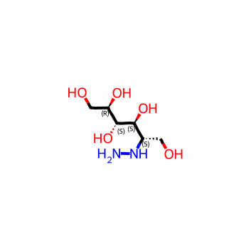 NN[C@@H](CO)[C@H](O)[C@H](O)[C@H](O)CO